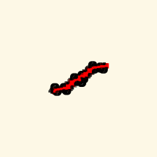 C=CC(=O)COCCCOC(=O)C1CCC(C2CCC(C(=O)Oc3ccc(OC(=O)C4CCC(C5CCC(C(=O)OCCCCOC(=O)C=C)CC5)CC4)c(C=O)c3)CC2)CC1